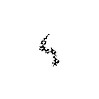 COCCCN1CCN(c2cncc(-c3cn(-c4cc(NC(=O)c5cc(C(F)(F)F)ccn5)cnc4C)nn3)c2)CC1